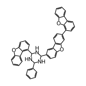 c1ccc(C2NC(c3ccc4oc5cc(-c6cccc7c6oc6ccccc67)ccc5c4c3)NC(c3cccc4oc5ccccc5c34)N2)cc1